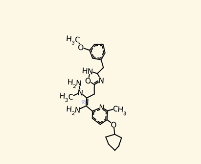 COc1cccc(CC2N=C(C/C(=C(/N)c3ccc(OC4CCCCC4)c(C)n3)N(C)N)ON2)c1